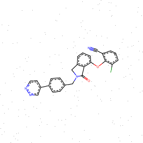 N#Cc1cccc(F)c1Oc1cccc2c1C(=O)N(Cc1ccc(-c3ccnnc3)cc1)C2